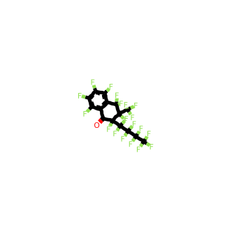 O=C1c2c(F)c(F)c(F)c(F)c2C(F)(F)C(F)(C(F)(F)F)C1(F)C(F)(F)C(F)(F)C(F)(F)C(F)(F)F